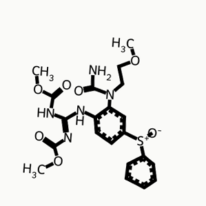 COCCN(C(N)=O)c1cc([S+]([O-])c2ccccc2)ccc1NC(=NC(=O)OC)NC(=O)OC